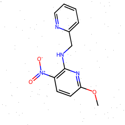 COc1ccc([N+](=O)[O-])c(NCc2ccccn2)n1